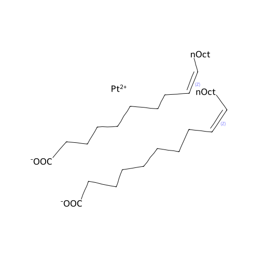 CCCCCCCC/C=C\CCCCCCCC(=O)[O-].CCCCCCCC/C=C\CCCCCCCC(=O)[O-].[Pt+2]